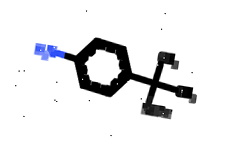 CC(=O)NC(C)(C)c1ccc(N)cc1